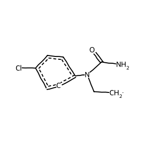 [CH2]CN(C(N)=O)c1ccc(Cl)cc1